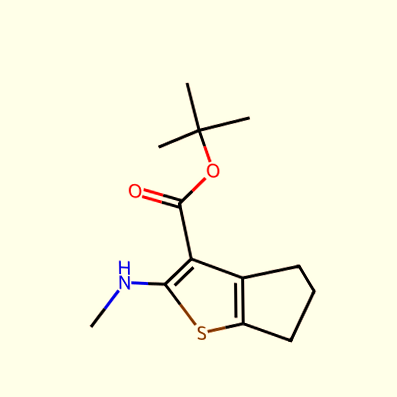 CNc1sc2c(c1C(=O)OC(C)(C)C)CCC2